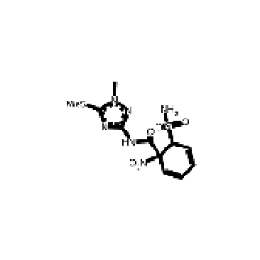 CSc1nc(NC(=O)C2([N+](=O)[O-])C=CC=CC2S(N)(=O)=O)nn1C